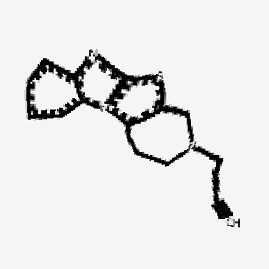 C#CCN1CCc2c(sc3nc4ccccc4n23)C1